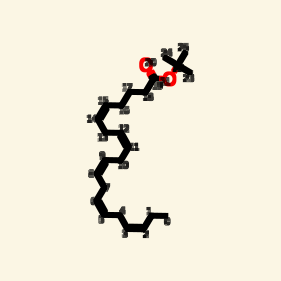 CC/C=C\C/C=C\C/C=C\C/C=C\C/C=C\CCCC(=O)OC(C)(C)C